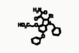 CCc1c(C(=O)C(N)=O)c2c(OCC(=O)O)cc(Oc3ccccc3)cc2n1Cc1ccccc1